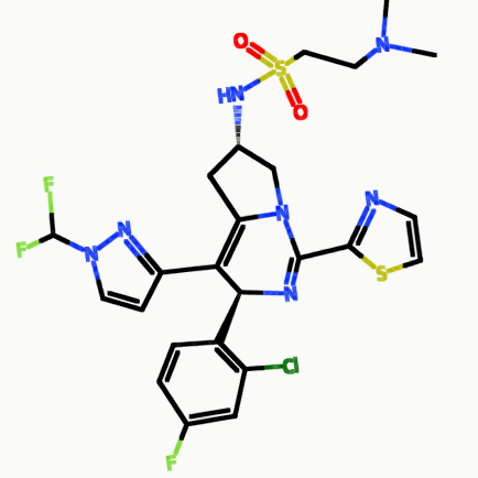 CN(C)CCS(=O)(=O)N[C@H]1CC2=C(c3ccn(C(F)F)n3)[C@H](c3ccc(F)cc3Cl)N=C(c3nccs3)N2C1